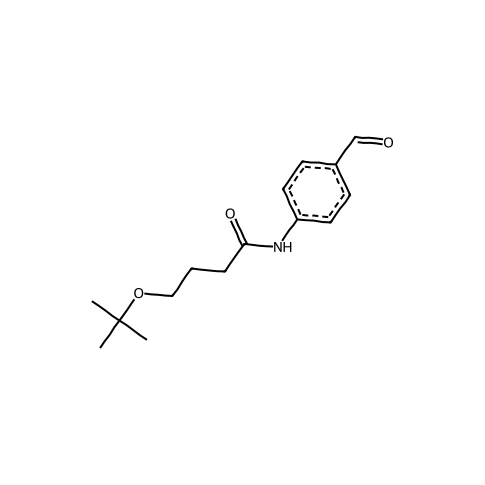 CC(C)(C)OCCCC(=O)Nc1ccc(C=O)cc1